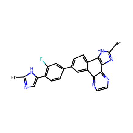 CCc1ncc(-c2ccc(-c3ccc4c(c3)c3nccnc3c3nc(C(C)C)[nH]c43)cc2F)[nH]1